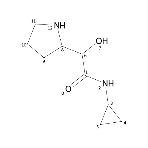 O=C(NC1CC1)C(O)C1CCCN1